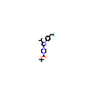 CC(C)c1cc(N2CCN(C(=O)OC(C)(C)C)CC2)nn1-c1ccc(CC(F)F)cc1